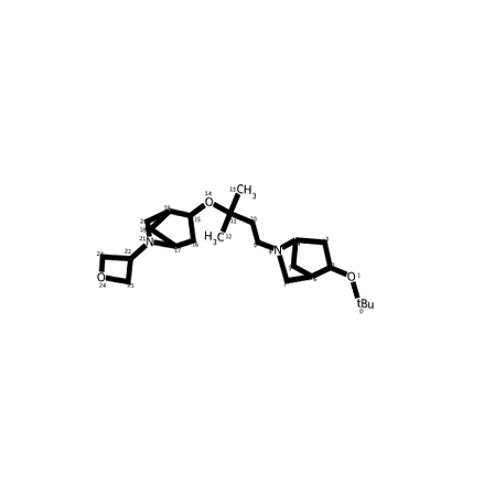 CC(C)(C)OC1CC2CC1CN2CCC(C)(C)OC1CC2CC1CN2C1COC1